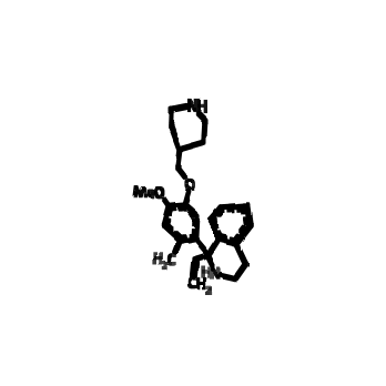 C=CC1(c2cc(OCC3CCNCC3)c(OC)cc2C)NCCc2ccccc21